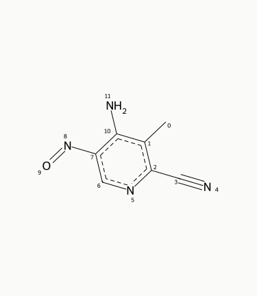 Cc1c(C#N)ncc(N=O)c1N